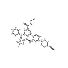 CCOC(=O)c1cc(-c2ccc(N3CCC(C#N)CC3)nc2)c(C(=N)C2CC(C)(C)C2)c(Nc2ccccc2)n1